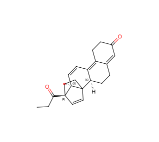 CCC(=O)[C@@]12C=CC3(CC1)[C@@H]1CCC4=CC(=O)CCC4=C1C=C[C@@]32C